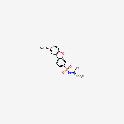 COc1ccc2oc3cc(S(=O)(=O)N[C@H](C(=O)O)C(C)C)ccc3c2c1